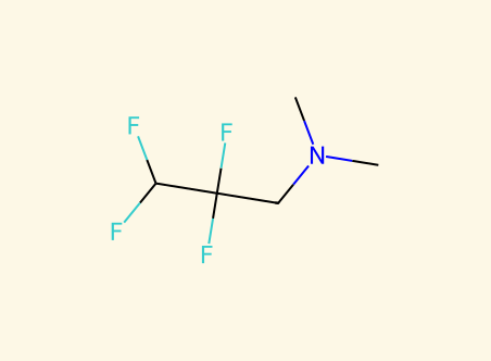 CN(C)CC(F)(F)C(F)F